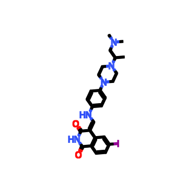 CC(CN(C)C)N1CCN(c2ccc(N/C=C3\C(=O)NC(=O)c4ccc(I)cc43)cc2)CC1